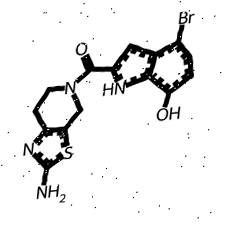 Nc1nc2c(s1)CN(C(=O)c1cc3c(Br)ccc(O)c3[nH]1)CC2